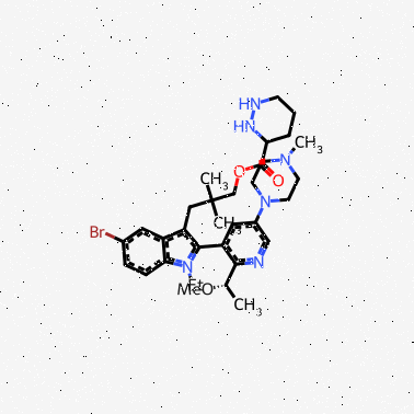 CCn1c(-c2cc(N3CCN(C)CC3)cnc2[C@H](C)OC)c(CC(C)(C)COC(=O)C2CCCNN2)c2cc(Br)ccc21